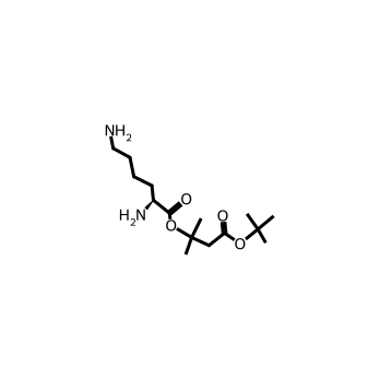 CC(C)(C)OC(=O)CC(C)(C)OC(=O)[C@@H](N)CCCCN